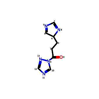 O=C(CCC1C=NC=N1)n1cncn1